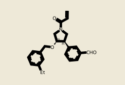 C=CC(=O)N1C[C@@H](OCc2cccc(CC)c2)[C@H](c2cccc(C=O)c2)C1